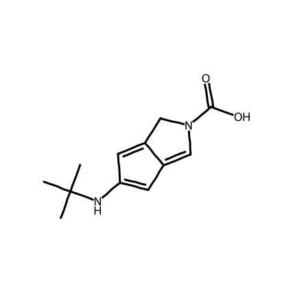 CC(C)(C)NC1=CC2=CN(C(=O)O)CC2=C1